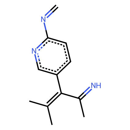 C=Nc1ccc(C(C(C)=N)=C(C)C)cn1